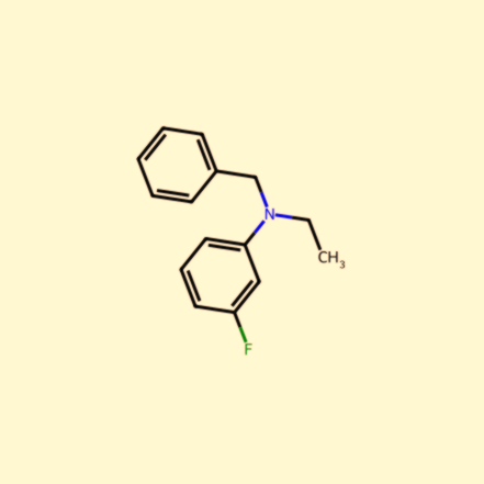 CCN(Cc1ccccc1)c1cccc(F)c1